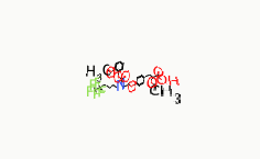 CCOC(Cc1ccc(OCCN(CCCCC(F)(F)C(F)(F)F)C(=O)Oc2ccccc2OC)cc1)C(=O)O